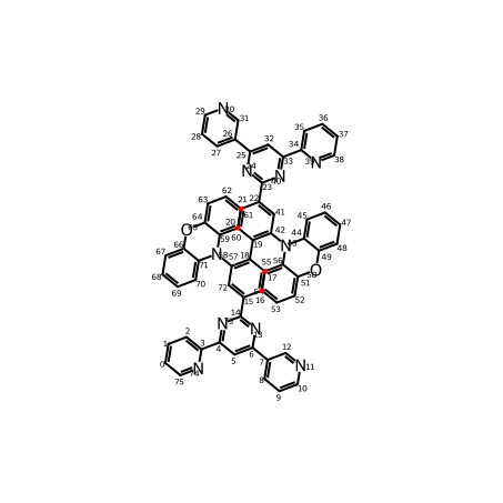 c1ccc(-c2cc(-c3cccnc3)nc(-c3ccc(-c4ccc(-c5nc(-c6cccnc6)cc(-c6ccccn6)n5)cc4N4c5ccccc5Oc5ccccc54)c(N4c5ccccc5Oc5ccccc54)c3)n2)nc1